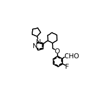 O=Cc1c(F)cccc1OCC1CCCCC1c1ccnn1C1CCCC1